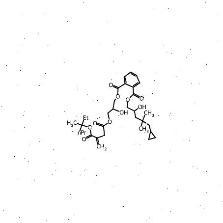 C=C(CC(=O)OCC(O)COC(=O)c1ccccc1C(=O)OCC(O)CC(C)(C)CC1CC1)C(=O)OC(C)(CC)CCC